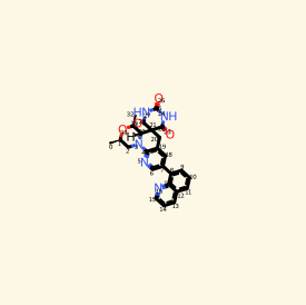 C[C@@H]1CN2c3ncc(-c4cccc5cccnc45)cc3CC3(C(=O)NC(=O)NC3=O)[C@H]2[C@H](C)O1